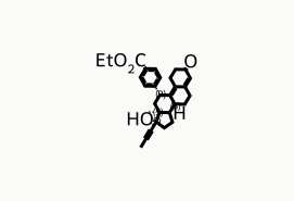 CC#C[C@]1(O)CCC2[C@@H]3CCC4=CC(=O)CCC4=C3[C@@H](c3ccc(C(=O)OCC)cc3)C[C@@]21C